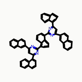 c1ccc2cc(-c3cc(-c4cccc5ccccc45)nc(-c4cccc5c(-c6nc(-c7ccc8ccccc8c7)cc(-c7cccc8ccccc78)n6)cccc45)n3)ccc2c1